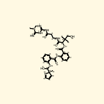 CN(C)C(=N)NC(=N)NC(=O)CCNC(=O)[C@H](OC(=O)c1ccccc1OC(=O)c1ccccc1OC(O)[C@]1(C)C=CC=N1)C(C)(C)CO